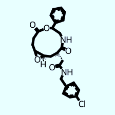 O=C(C[C@@H]1C[C@H]2OC2CCC(=O)OC(c2ccccc2)CNC1=O)NCc1ccc(Cl)cc1